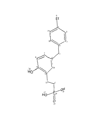 CCc1ccc(Cc2ccc(O)c(CCP(=O)(O)O)c2)cc1